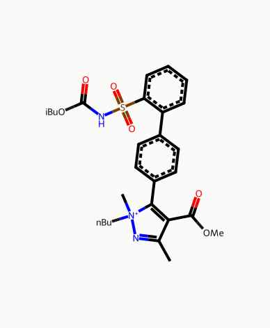 CCCC[N+]1(C)N=C(C)C(C(=O)OC)=C1c1ccc(-c2ccccc2S(=O)(=O)NC(=O)OCC(C)C)cc1